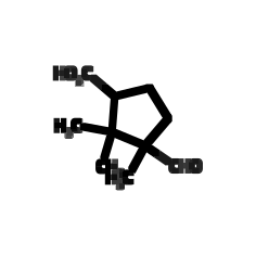 CC1(C=O)CCC(C(=O)O)C1(C)C